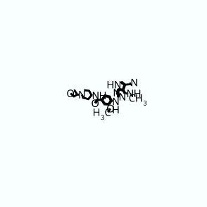 CNc1nc(Nc2ccc(C(=O)NC3CCN(C4COC4)CC3)cc2OC)nc2[nH]cc(C#N)c12